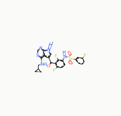 O=C(c1c(F)ccc(NS(=O)(=O)c2cccc(F)c2)c1F)c1c[nH]c2ncnc(NCC3CC3)c12